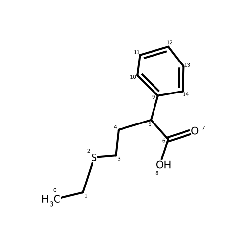 CCSCCC(C(=O)O)c1ccccc1